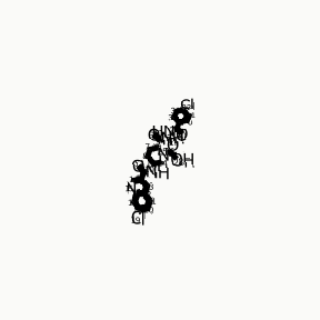 O=C(NNC(=O)[C@H]1CC[C@H](NC(=O)c2cnc3cc(Cl)ccc3c2)CN1C(=O)O)c1ccc(Cl)cc1